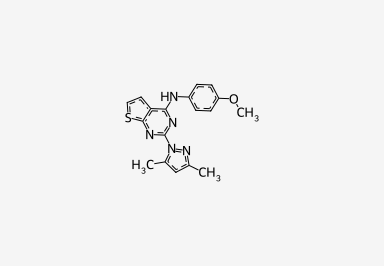 COc1ccc(Nc2nc(-n3nc(C)cc3C)nc3sccc23)cc1